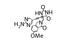 COc1ccc2c(c1)C(=O)N(C[C@@]1(C#Cc3cnc(N)nc3)NC(=O)NC1=O)C2